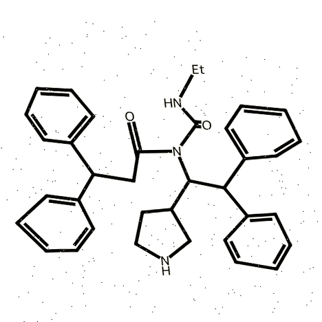 CCNC(=O)N(C(=O)CC(c1ccccc1)c1ccccc1)C(C1CCNC1)C(c1ccccc1)c1ccccc1